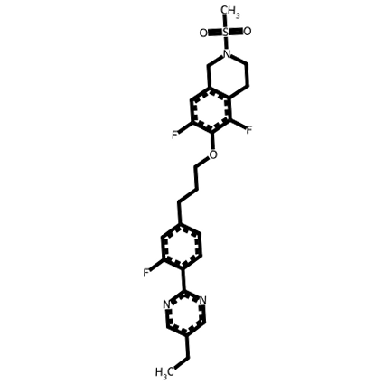 CCc1cnc(-c2ccc(CCCOc3c(F)cc4c(c3F)CCN(S(C)(=O)=O)C4)cc2F)nc1